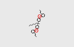 CC=Cc1ccccc1Oc1ccc(C(C)(CCCCCC)c2ccc(Oc3ccccc3C=CC)cc2)cc1